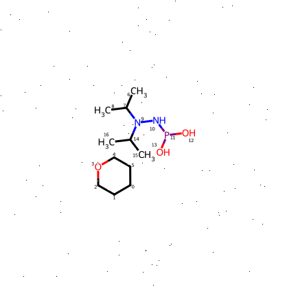 C1CCOCC1.CC(C)N(NP(O)O)C(C)C